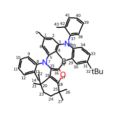 Cc1cc2c3c(c1)N(c1ccccc1C)c1c(oc4c1C(C)(C)CCC4(C)C)B3c1cc(C(C)(C)C)ccc1N2c1ccccc1C